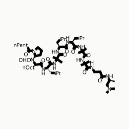 CCCCCCCC[C@@H](C(=O)N[C@@H](CC(C)C)C(=O)NC(C)(C)C(=O)N[C@@H](CC(C)C)C(=O)N[C@@H](CC(C)C)C(=O)NC(C)(C)C(=O)NC(C)(C)C(=O)NCCC(=O)N[C@@H](C)CN(C)C)N(C=O)[C@@H]1CCCN1C(=O)CCCCC